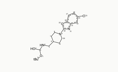 CC(C)(C)OC(O)NCC1CCN(c2nc3cc(Cl)ccc3o2)CC1